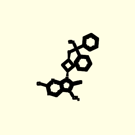 Cn1c(=O)n([C@H]2C[C@H](O[Si](c3ccccc3)(c3ccccc3)C(C)(C)C)C2)c2nc(Cl)ncc21